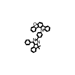 CC1(C)c2ccccc2-c2c(-c3ccccc3)nc(-c3ccc(-n4c5ccccc5c5ccc6oc7ccccc7c6c54)cc3)nc21